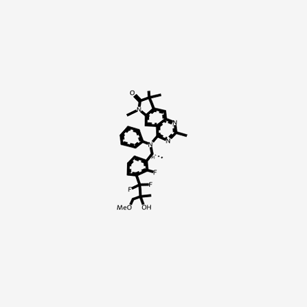 COCC(C)(O)C(F)(F)c1cccc([C@@H](C)N(c2ccccc2)c2nc(C)nc3cc4c(cc23)N(C)C(=O)C4(C)C)c1F